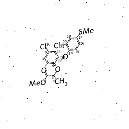 COC(=O)C(C)Oc1ccc(Cl)cc1Oc1ccc(SC)cc1Cl